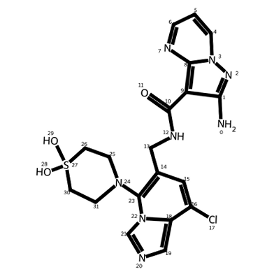 Nc1nn2cccnc2c1C(=O)NCc1cc(Cl)c2cncn2c1N1CCS(O)(O)CC1